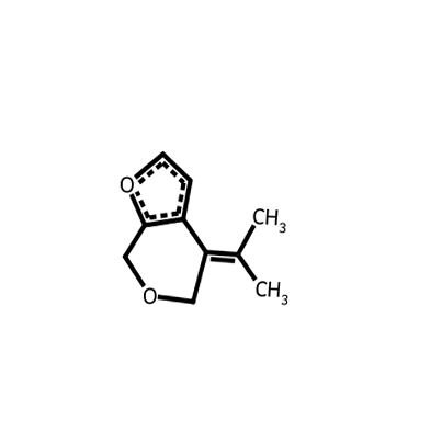 CC(C)=C1COCc2occc21